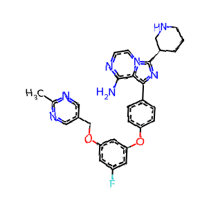 Cc1ncc(COc2cc(F)cc(Oc3ccc(-c4nc([C@@H]5CCCNC5)n5ccnc(N)c45)cc3)c2)cn1